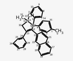 Cc1ccc([B-]2(c3ccccc3)C(c3ccc4ccccc4c3)=C(c3ccccc3)C[N+]2(C)C)cc1